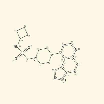 O=S(=O)(CN1CCC(c2ccnc3cnc4[nH]ccc4c23)CC1)NC1CCC1